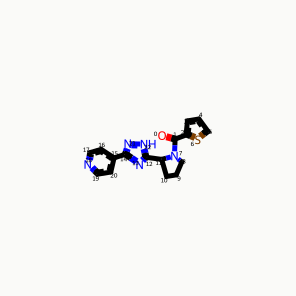 O=C(c1cccs1)N1CCCC1c1nc(-c2ccncc2)n[nH]1